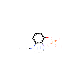 O=CNc1cccc(OP(=O)(O)O)c1NC=O